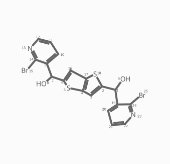 OC(c1cc2sc(C(O)c3cccnc3Br)cc2s1)c1cccnc1Br